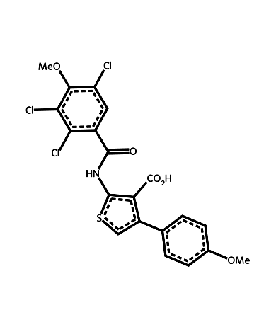 COc1ccc(-c2csc(NC(=O)c3cc(Cl)c(OC)c(Cl)c3Cl)c2C(=O)O)cc1